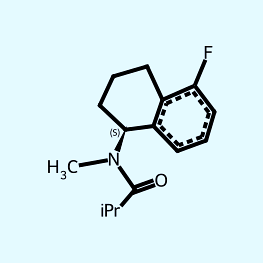 CC(C)C(=O)N(C)[C@H]1CCCc2c(F)cccc21